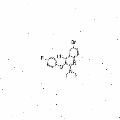 CCN(CC)c1nc2ccc(Br)cc2c(Cl)c1Oc1ccc(F)cc1